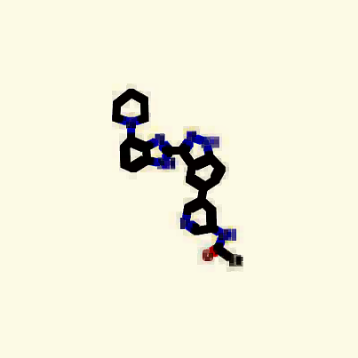 CCC(=O)Nc1cncc(-c2ccc3[nH]nc(-c4nc5c(N6CCCCC6)cccc5[nH]4)c3c2)c1